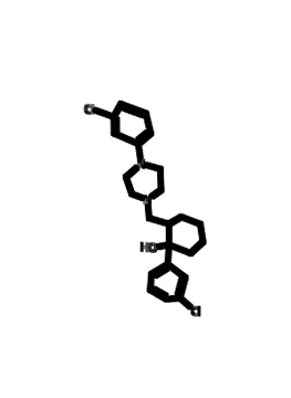 OC1(c2cccc(Cl)c2)CCCCC1CN1CCN(c2cccc(Cl)c2)CC1